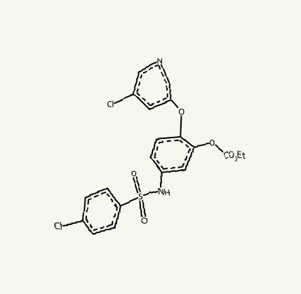 CCOC(=O)Oc1cc(NS(=O)(=O)c2ccc(Cl)cc2)ccc1Oc1cncc(Cl)c1